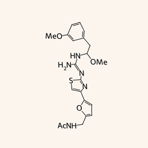 COc1cccc(CC(NC(N)=Nc2nc(-c3ccc(CNC(C)=O)o3)cs2)OC)c1